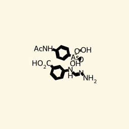 CC(=O)Nc1ccc([As](=O)(O)OO)cc1.NN=CNc1cccc(C(=O)O)c1